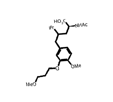 COCCCOc1cc(CC(C[C@H](NC(C)=O)C(=O)O)C(C)C)ccc1OC